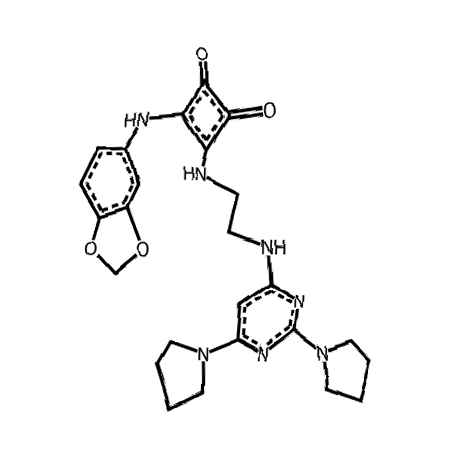 O=c1c(NCCNc2cc(N3CCCC3)nc(N3CCCC3)n2)c(Nc2ccc3c(c2)OCO3)c1=O